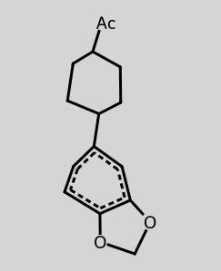 CC(=O)C1CCC(c2ccc3c(c2)OCO3)CC1